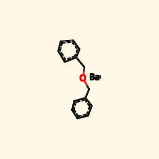 [Ba].c1ccc(COCc2ccccc2)cc1